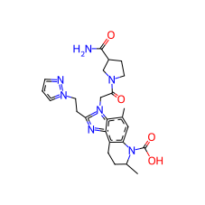 Cc1cc2c(c3nc(CCn4cccn4)n(CC(=O)N4CCC(C(N)=O)C4)c13)CCC(C)N2C(=O)O